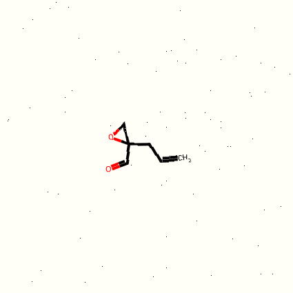 C=CCC1(C=O)CO1